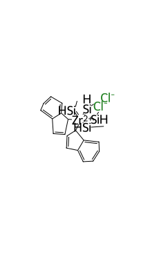 C[SiH]=[Zr+2](=[SiH]C)(=[SiH]C)(=[SiH]C)([CH]1C=Cc2ccccc21)[CH]1C=Cc2ccccc21.[Cl-].[Cl-]